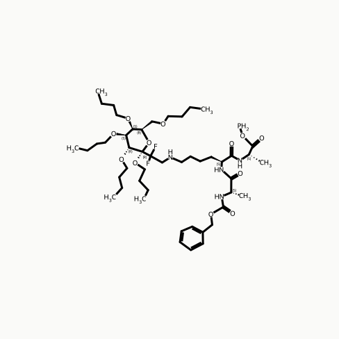 CCCCOC[C@H]1O[C@@](OCCCC)(C(F)(F)CNCCCC[C@H](NC(=O)[C@H](C)NC(=O)OCc2ccccc2)C(=O)N[C@@H](C)C(=O)OP)[C@H](OCCCC)[C@@H](OCCCC)[C@H]1OCCCC